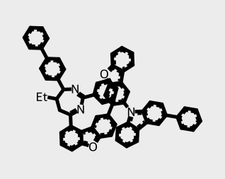 CCC1CC(c2cccc3oc4ccc(-c5cc6oc7ccccc7c6cc5-n5c6ccccc6c6cc(-c7ccccc7)ccc65)cc4c23)=NC(c2ccccc2)=NC1c1ccc(-c2ccccc2)cc1